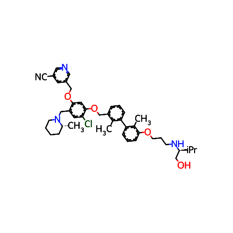 Cc1c(COc2cc(OCc3cncc(C#N)c3)c(CN3CCCC[C@H]3C)cc2Cl)cccc1-c1cccc(OCCCN[C@H](CO)C(C)C)c1C